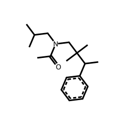 CC(=O)N(CC(C)C)CC(C)(C)C(C)c1ccccc1